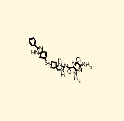 Nc1nc(N)c(C(=O)/N=C2\NCC3(CCN(Sc4ccc5nc(-c6ccccc6)[nH]c5c4)CC3)N2)nc1Cl